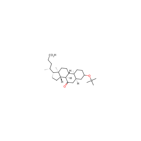 C[C@H](CCC(=O)O)[C@H]1CC[C@H]2[C@@H]3C(=O)C[C@@H]4CC(O[Si](C)(C)C)CC[C@]4(C)[C@H]3CC[C@]12C